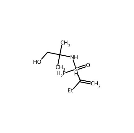 C=C(CC)[SH](=O)(P)NC(C)(C)CO